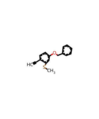 C#Cc1ccc(OCc2ccccc2)cc1SC